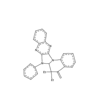 C=C1c2ccccc2N2c3nc4ccccc4nc3N(c3ccccc3)C2C1(CC)CC